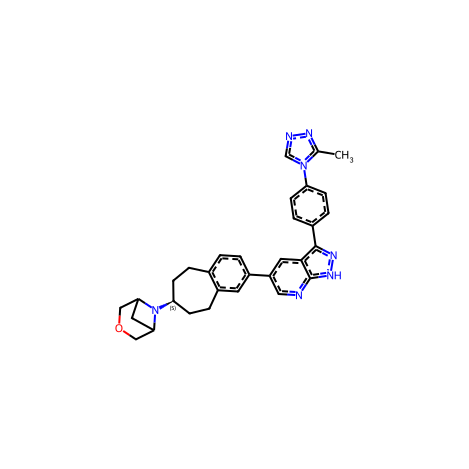 Cc1nncn1-c1ccc(-c2n[nH]c3ncc(-c4ccc5c(c4)CC[C@@H](N4C6COCC4C6)CC5)cc23)cc1